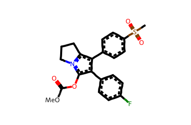 COC(=O)Oc1c(-c2ccc(F)cc2)c(-c2ccc(S(C)(=O)=O)cc2)c2n1CCC2